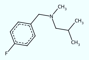 CC(C)CN(C)Cc1ccc(F)cc1